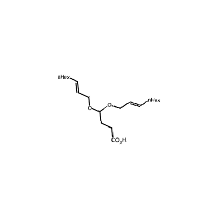 CCCCCC/C=C/COC(CCC(=O)O)OC/C=C/CCCCCC